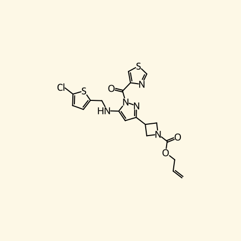 C=CCOC(=O)N1CC(c2cc(NCc3ccc(Cl)s3)n(C(=O)c3cscn3)n2)C1